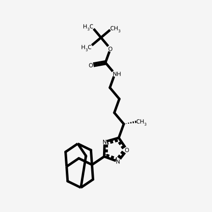 C[C@@H](CCCNC(=O)OC(C)(C)C)c1nc(C23CC4CC(CC(C4)C2)C3)no1